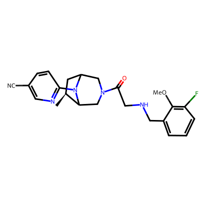 COc1c(F)cccc1CNCC(=O)N1CC2C[C@H](C)C(C1)N2c1ccc(C#N)cn1